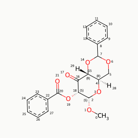 CO[C@H]1O[C@@H]2COC(c3ccccc3)O[C@H]2C(=O)[C@H]1OC(=O)c1ccccc1